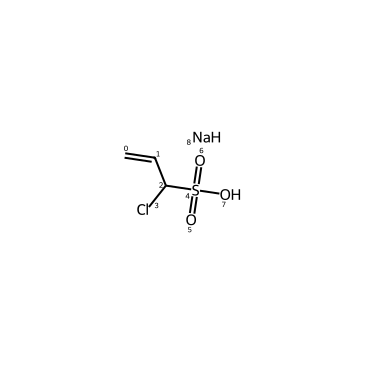 C=CC(Cl)S(=O)(=O)O.[NaH]